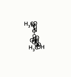 CN1CC(c2ccc(-c3ccc4c(c3)OC[C@H]3[C@H](COP(C)(=O)O)OC(=O)N43)cn2)OC1=O